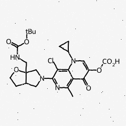 Cc1nc(N2CC3CCOC3(CNC(=O)OC(C)(C)C)C2)c(Cl)c2c1c(=O)c(OC(=O)O)cn2C1CC1